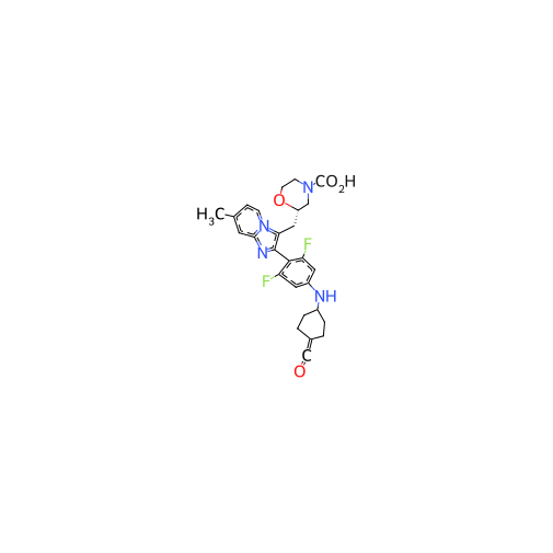 Cc1ccn2c(C[C@H]3CN(C(=O)O)CCO3)c(-c3c(F)cc(NC4CCC(=C=O)CC4)cc3F)nc2c1